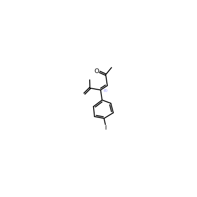 C=C(C)/C(=C\C(C)=O)c1ccc(I)cc1